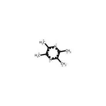 [CH2]c1nc(C)c(C)nc1C